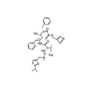 CC(C)c1nc(CN(C)[C@@H](O)N[C@H](C(=O)N[C@@H](Cc2ccccc2)C[C@H](O)[C@H](Cc2ccccc2)NC(=O)OCc2cncs2)C(C)C)cs1